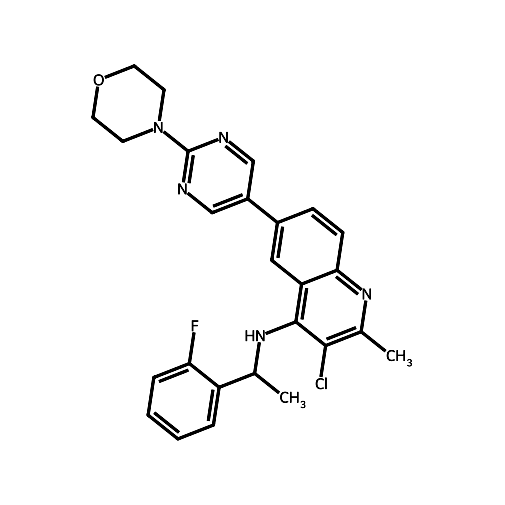 Cc1nc2ccc(-c3cnc(N4CCOCC4)nc3)cc2c(NC(C)c2ccccc2F)c1Cl